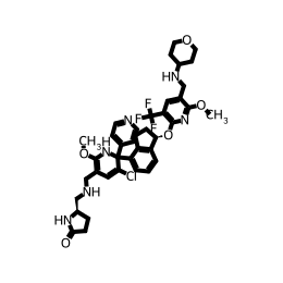 COC1=C(CNC[C@H]2CCC(=O)N2)C=C(Cl)C(c2ccncc2)(c2cccc3c2CC[C@@H]3Oc2nc(OC)c(CNC3CCOCC3)cc2C(F)(F)F)N1